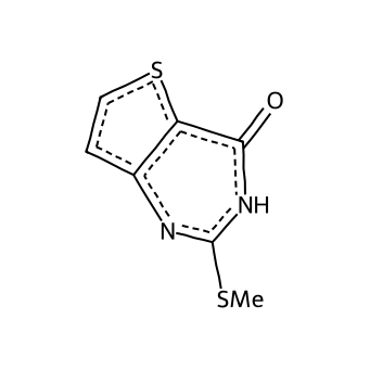 CSc1nc2ccsc2c(=O)[nH]1